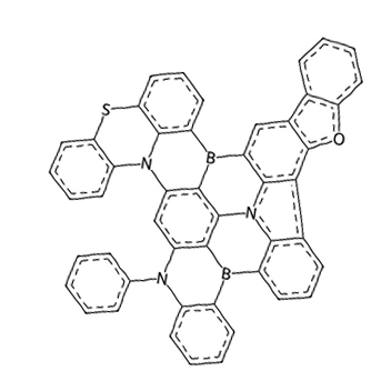 c1ccc(N2c3ccccc3B3c4c2cc2c5c4-n4c6c3cccc6c3c6oc7ccccc7c6cc(c34)B5c3cccc4c3N2c2ccccc2S4)cc1